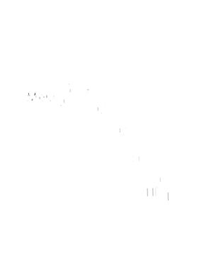 COOc1cccc(COCCOCCOCCOPI)c1